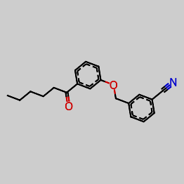 CCCCCC(=O)c1cccc(OCc2cccc(C#N)c2)c1